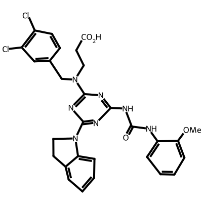 COc1ccccc1NC(=O)Nc1nc(N(CCC(=O)O)Cc2ccc(Cl)c(Cl)c2)nc(N2CCc3ccccc32)n1